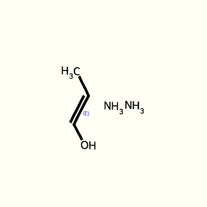 C/C=C/O.N.N